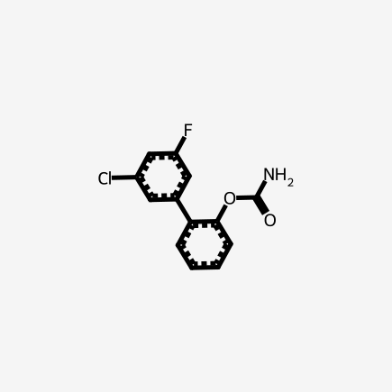 NC(=O)Oc1ccccc1-c1cc(F)cc(Cl)c1